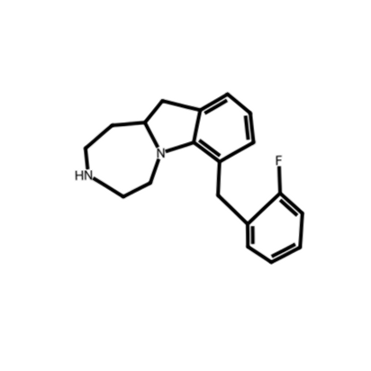 Fc1ccccc1Cc1cccc2c1N1CCNCCC1C2